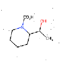 CC(O)C1CCCCN1C(=O)O